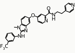 Cn1c(Nc2cccc(C(F)(F)F)c2)nc2cc(Oc3ccnc(C(=O)NCCc4ccncc4)c3)ccc21